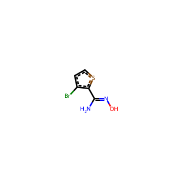 NC(=NO)c1sccc1Br